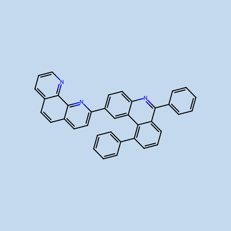 c1ccc(-c2nc3ccc(-c4ccc5ccc6cccnc6c5n4)cc3c3c(-c4ccccc4)cccc23)cc1